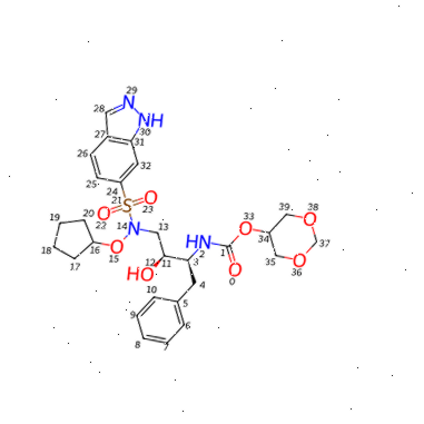 O=C(N[C@@H](Cc1ccccc1)[C@@H](O)CN(OC1CCCC1)S(=O)(=O)c1ccc2cn[nH]c2c1)OC1COCOC1